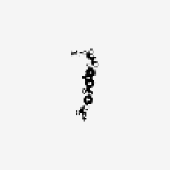 C=COC(=O)COc1ccc(OC(=O)c2ccc3c(c2)C(C)c2cc(OC(=O)C(=C)CC(=O)OC)ccc2-3)cc1